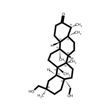 C[C@H]1C(=O)CC[C@@H]2[C@]1(C)CC[C@H]1[C@@]2(C)CC[C@@]2(C)[C@@H]3C[C@](C)(CO)CC[C@]3(CO)CC[C@]12C